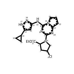 CCOC(=O)C1CC(Cl)CN1c1nc(Nc2cc(C3CC3)[nH]n2)n2cccc2n1